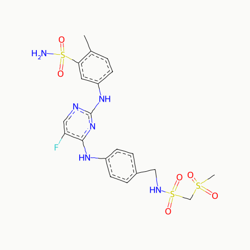 Cc1ccc(Nc2ncc(F)c(Nc3ccc(CNS(=O)(=O)CS(C)(=O)=O)cc3)n2)cc1S(N)(=O)=O